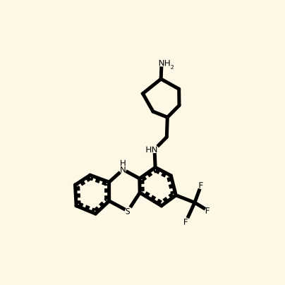 NC1CCC(CNc2cc(C(F)(F)F)cc3c2Nc2ccccc2S3)CC1